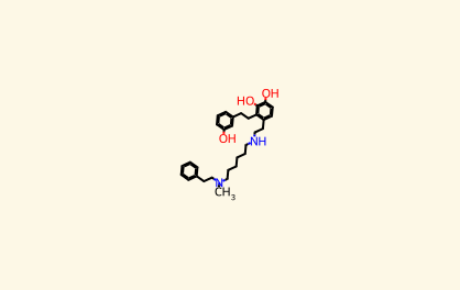 CN(CCCCCCNCCc1ccc(O)c(O)c1CCc1cccc(O)c1)CCc1ccccc1